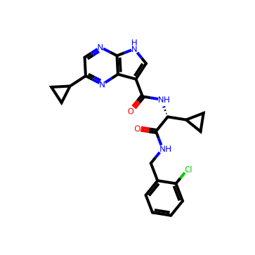 O=C(N[C@@H](C(=O)NCc1ccccc1Cl)C1CC1)c1c[nH]c2ncc(C3CC3)nc12